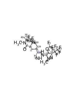 CN(C(=O)c1cc(/C(C=N)=C/Nc2c(OC(F)F)c(C(F)(F)C(F)(F)F)nn2C)ccc1C(F)(F)F)C1(C#N)CC1